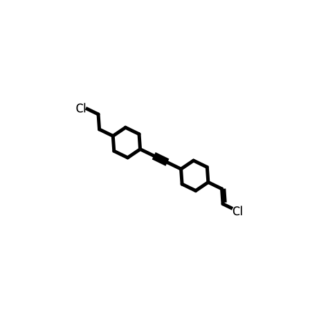 Cl/C=C/C1CCC(C#CC2CCC(CCCl)CC2)CC1